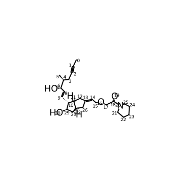 CC#CC[C@H](C)[C@H](O)C=C[C@@H]1[C@H]2CC(=CCOCC(=O)N3CCCCC3)C[C@H]2C[C@H]1O